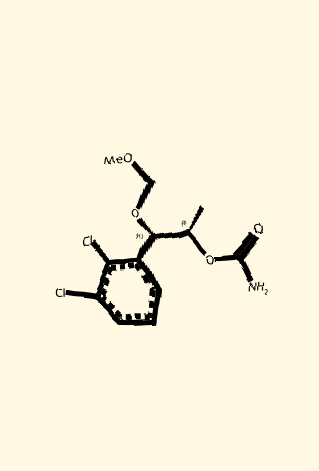 COCO[C@H](c1cccc(Cl)c1Cl)[C@@H](C)OC(N)=O